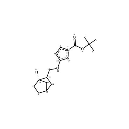 CC(C)(C)OC(=O)n1ccc(OCC2CC3CC[C@@H]2C3)n1